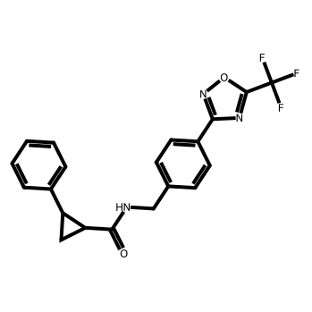 O=C(NCc1ccc(-c2noc(C(F)(F)F)n2)cc1)C1CC1c1ccccc1